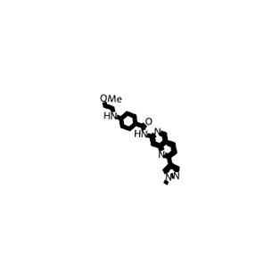 COCCNC1CCC(C(=O)Nc2cc3nc(-c4cnn(C)c4)ccc3cn2)CC1